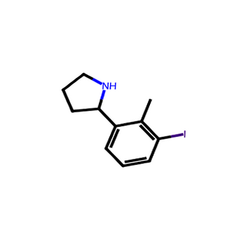 Cc1c(I)cccc1C1CCCN1